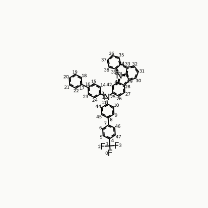 FC(F)(F)c1ccc(-c2ccc(N(c3ccc(-c4ccccc4)cc3)c3ccc4c5cccc6c7ccccc7n(c4c3)c65)cc2)cc1